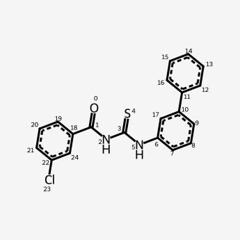 O=C(NC(=S)Nc1cccc(-c2ccccc2)c1)c1cccc(Cl)c1